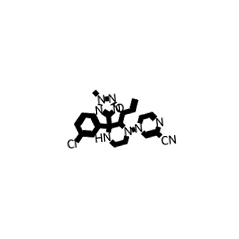 C=CC(=O)C1N(N2C=C(C#N)N=CC2)CCNC1(c1cccc(Cl)c1)c1nnn(C)n1